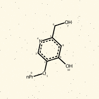 CCCOc1cnc(CO)cc1O